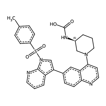 Cc1ccc(S(=O)(=O)n2cc(-c3ccc4nccc(N5CCC[C@H](NC(=O)O)C5)c4c3)c3cccnc32)cc1